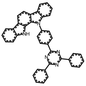 c1ccc(-c2nc(-c3ccccc3)nc(-c3ccc(-n4c5ccccc5c5ccc6c7ccccc7[nH]c6c54)cc3)n2)cc1